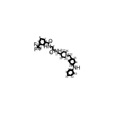 O=C(CNC(=O)c1cccc(C(F)(F)F)c1)NCC1CCN(Cc2ccc(Nc3ccccc3)cc2)CC1